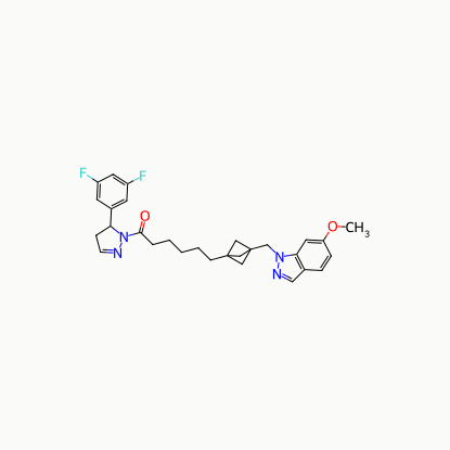 COc1ccc2cnn(CC34CC(CCCCCC(=O)N5N=CCC5c5cc(F)cc(F)c5)(C3)C4)c2c1